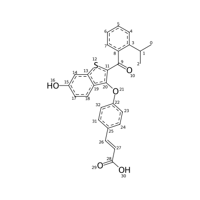 CC(C)c1ccccc1C(=O)c1sc2cc(O)ccc2c1Oc1ccc(/C=C/C(=O)O)cc1